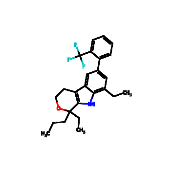 CCCC1(CC)OCCc2c1[nH]c1c(CC)cc(-c3ccccc3C(F)(F)F)cc21